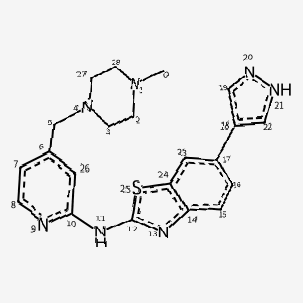 CN1CCN(Cc2ccnc(Nc3nc4ccc(-c5cn[nH]c5)cc4s3)c2)CC1